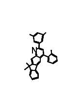 Cc1cc(C)cc(-c2cc(-c3ccccc3C)c3cc4c(cc3n2)C(C)(C)c2ccccc2-4)c1